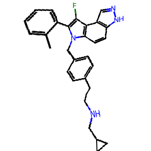 Cc1ccccc1-c1c(F)c2c3cn[nH]c3ccc2n1Cc1ccc(CCNCC2CC2)cc1